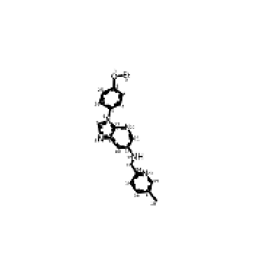 CCOc1ccc(-n2cnc3cc(NCc4ccc(C)cn4)cnc32)cc1